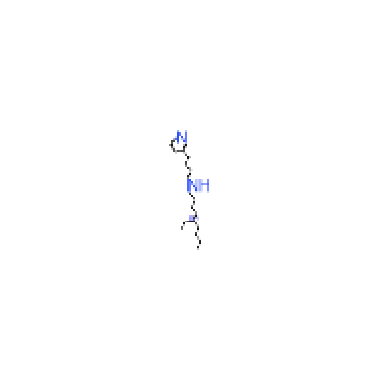 CCCC/C(=C/CCCNCCCCc1cccnc1)CC